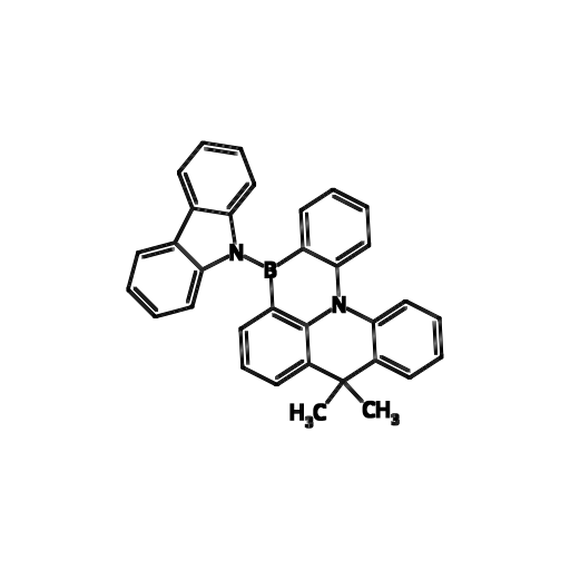 CC1(C)c2ccccc2N2c3ccccc3B(n3c4ccccc4c4ccccc43)c3cccc1c32